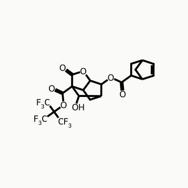 O=C(OC1C2CC3C1OC(=O)C3(C(=O)OC(C(F)(F)F)(C(F)(F)F)C(F)(F)F)C2O)C1CC2C=CC1C2